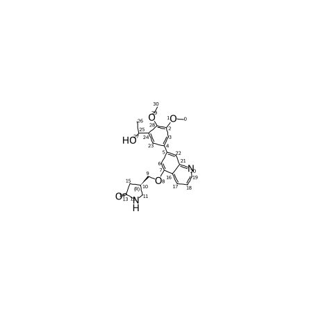 COc1cc(-c2cc(OC[C@H]3CNC(=O)C3)c3cccnc3c2)cc(C(C)O)c1OC